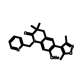 COc1cc2c(cc1-c1c(C)noc1C)CC(C)(C)C(=O)N2Cc1ccccn1